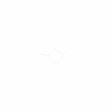 CC(=O)c1cc(Cl)cs1